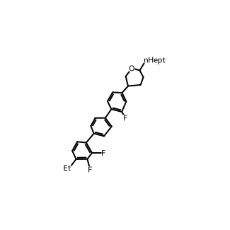 CCCCCCCC1CCC(c2ccc(-c3ccc(-c4ccc(CC)c(F)c4F)cc3)c(F)c2)CO1